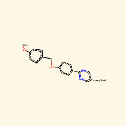 CCCCCCCCCc1cnc(-c2ccc(OCc3ccc(OCCCCCC)cc3)cc2)nc1